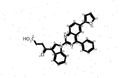 O=C(O)CCC(=O)c1cn(-c2nc(-c3ccccc3)c3cc(-c4ccco4)ccc3n2)c2ccccc12